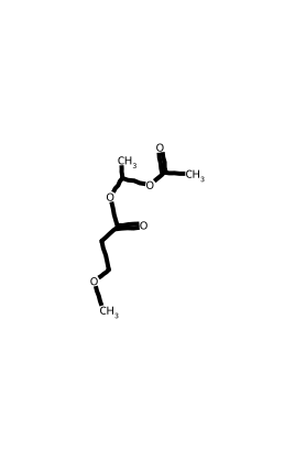 COCCC(=O)OC(C)OC(C)=O